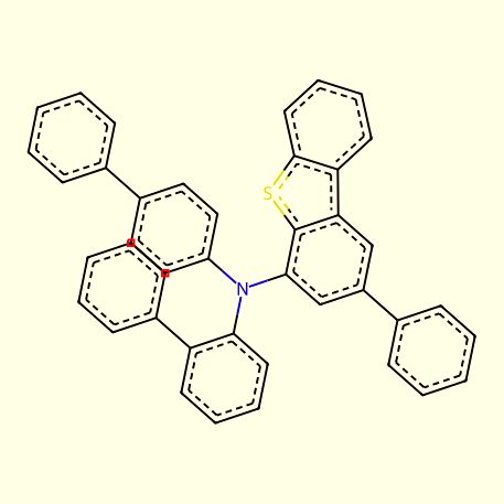 c1ccc(-c2ccc(N(c3ccccc3-c3ccccc3)c3cc(-c4ccccc4)cc4c3sc3ccccc34)cc2)cc1